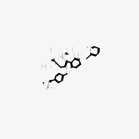 CC(C)(C)Sc1c(CC(C)(C)C(=O)O)n(Cc2ccc(-c3nncs3)cc2)c2ccc(OCc3ccccn3)cc12